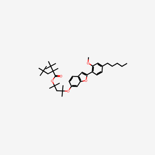 CCCCCc1ccc(-c2cc3ccc(OC(C)(C)CC(C)(C)OC(=O)C(C)(CC(C)(C)C)C(C)(C)C)cc3o2)c(OC)c1